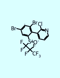 [O-][S+](c1cc(Br)[c]c(Br)c1-c1cccnc1Cl)C(F)(F)C(F)(F)C(F)(F)F